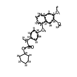 COc1cc2ncnc(Oc3ccc(N(C)C(=O)OC4CCCCC4)cc3)c2cc1OC